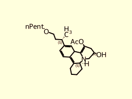 CCCCCOCC[C@H](C)C1=CC2C(=C3CCCC[C@@H]3N3C[C@H](O)CC(OC(C)=O)=C23)C=C1